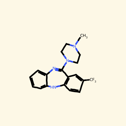 CN1CCN(C2=Nc3ccccc3Nc3ccc(C(F)(F)F)cc32)CC1